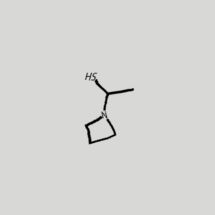 CC(S)N1CCC1